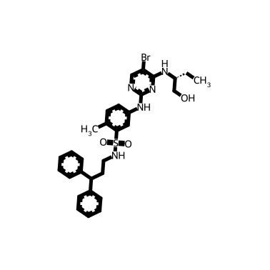 CC[C@H](CO)Nc1nc(Nc2ccc(C)c(S(=O)(=O)NCCC(c3ccccc3)c3ccccc3)c2)ncc1Br